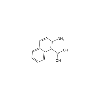 Nc1ccc2ccccc2c1B(O)O